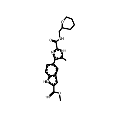 COC(=N)c1cc2cc(-c3nc(C(=O)NCC4CCCCO4)[nH]c3C)ccc2[nH]1